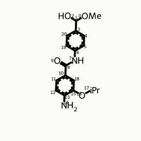 COC(O)c1ccc(NC(=O)c2ccc(N)c(OC(C)C)c2)cc1